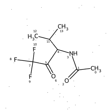 CC(=O)NC(C(=O)C(F)(F)F)C(C)C